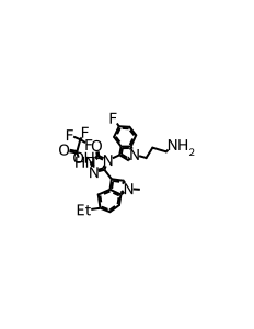 CCc1ccc2c(c1)c(-c1n[nH]c(=O)n1-c1cn(CCCN)c3ccc(F)cc13)cn2C.O=C(O)C(F)(F)F